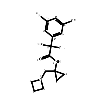 O=C(NC1(CN2CCC2)CC1)C(F)(F)c1cc(F)cc(F)c1